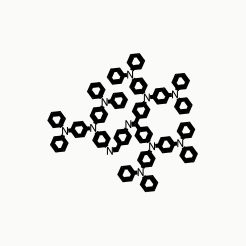 C(=N/c1ccc(N(c2ccc(N(c3ccccc3)c3ccccc3)cc2)c2ccc(N(c3ccccc3)c3ccccc3)cc2)cc1)/c1ccc(N=C(c2ccc(N(c3ccc(N(c4ccccc4)c4ccccc4)cc3)c3ccc(N(c4ccccc4)c4ccccc4)cc3)cc2)c2ccc(N(c3ccc(N(c4ccccc4)c4ccccc4)cc3)c3ccc(N(c4ccccc4)c4ccccc4)cc3)cc2)cc1